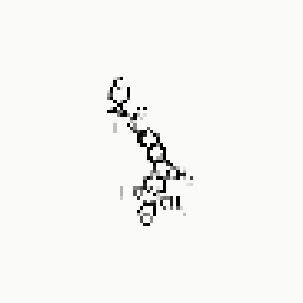 C=Cc1cc2cnc(NC(=O)[C@H]3CC34CCOCC4)cc2cc1N1CCN([C@@]2(C)COC[C@H]2O)CC1